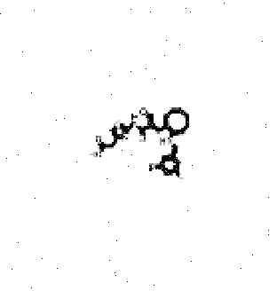 O=C/C(=C\C1=C(/NCc2cc(F)cc(F)c2)CCCCCC1)C(=O)Nc1nc(CC(=O)O)cs1